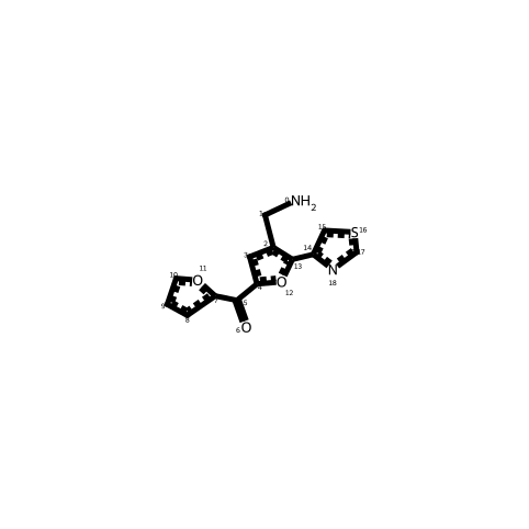 NCc1cc(C(=O)c2ccco2)oc1-c1cscn1